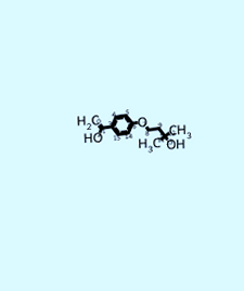 C=C(O)c1ccc(OCCC(C)(C)O)cc1